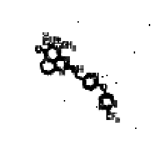 CC[C@@]1(C)C(=O)N2CCCc3nc(NCc4ccc(Oc5cnc(C(F)(F)F)nc5)nc4)nc(c32)N1C